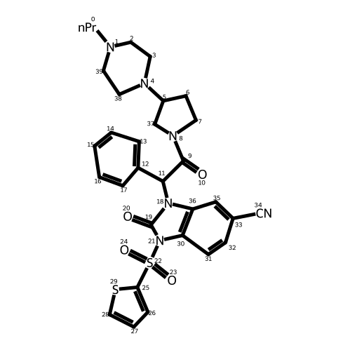 CCCN1CCN(C2CCN(C(=O)C(c3ccccc3)n3c(=O)n(S(=O)(=O)c4cccs4)c4ccc(C#N)cc43)C2)CC1